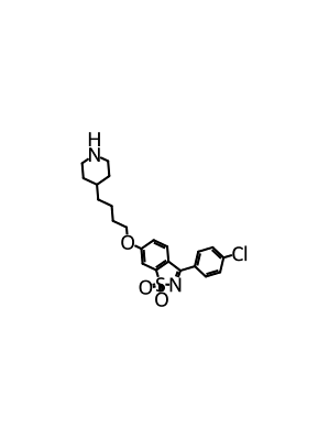 O=S1(=O)N=C(c2ccc(Cl)cc2)c2ccc(OCCCCC3CCNCC3)cc21